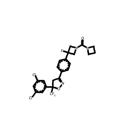 O=C(N1CCC1)N1CC(F)(c2ccc(C3=NOC(c4cc(Cl)cc(Cl)c4)(C(F)(F)F)C3)cc2)C1